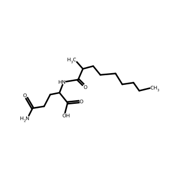 CCCCCCCC(C)C(=O)NC(CCC(N)=O)C(=O)O